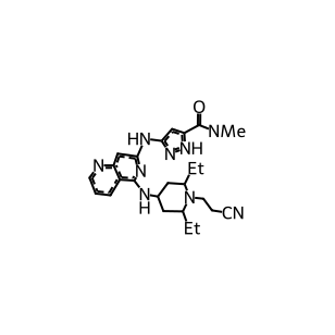 CCC1CC(Nc2nc(Nc3cc(C(=O)NC)[nH]n3)cc3ncccc23)CC(CC)N1CCC#N